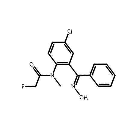 CN(C(=O)CF)c1ccc(Cl)cc1C(=NO)c1ccccc1